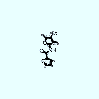 CCc1c(C)oc(NC(=O)c2ccco2)c1C